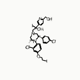 C[C@@H]1CN(C[C@](O)(I)c2ccc(CO)nc2)C[C@@H](c2ccc(Cl)cc2)N1c1ccc(OCCI)cc1Cl